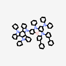 c1ccc(-c2cccc(N3c4cc(-c5ccccc5)ccc4B4c5ccc(-n6c7ccccc7c7c8c(c9ccccc9n8-c8ccccc8)c8c(c9ccccc9n8-c8ccccc8)c76)cc5N(c5ccccc5)c5cc(N(c6ccccc6)c6ccccc6)cc3c54)c2)cc1